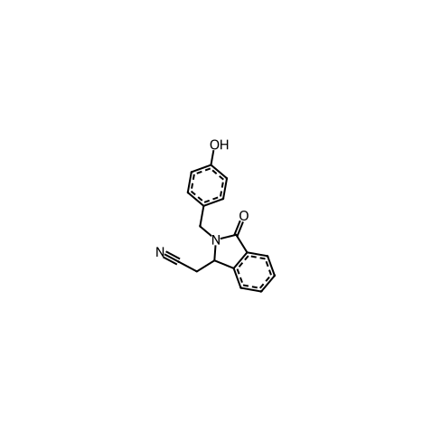 N#CCC1c2ccccc2C(=O)N1Cc1ccc(O)cc1